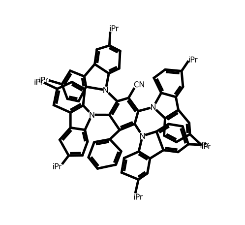 CC(C)c1ccc2c(c1)c1cc(C(C)C)ccc1n2-c1c(C#N)c(-n2c3ccc(C(C)C)cc3c3cc(C(C)C)ccc32)c(-n2c3ccc(C(C)C)cc3c3cc(C(C)C)ccc32)c(-c2ccccc2)c1-n1c2ccc(C(C)C)cc2c2cc(C(C)C)ccc21